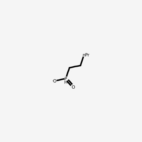 CCCCC[PH]([O])=O